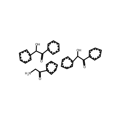 NCC(=O)c1ccccc1.O=C(c1ccccc1)C(O)c1ccccc1.O=C(c1ccccc1)C(O)c1ccccc1